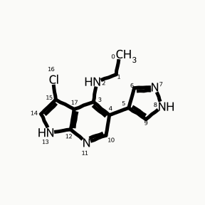 CCNc1c(-c2cn[nH]c2)cnc2[nH]cc(Cl)c12